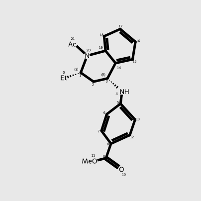 CC[C@H]1C[C@@H](Nc2ccc(C(=O)OC)cc2)c2ccccc2N1C(C)=O